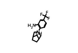 Nc1cc(C(F)(F)F)ccc1N1CC2CCC(C1)C2O